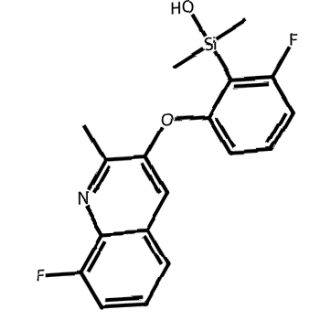 Cc1nc2c(F)cccc2cc1Oc1cccc(F)c1[Si](C)(C)O